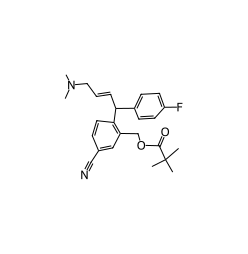 CN(C)CC=CC(c1ccc(F)cc1)c1ccc(C#N)cc1COC(=O)C(C)(C)C